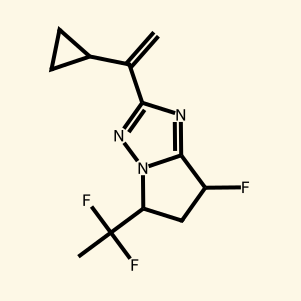 C=C(c1nc2n(n1)C(C(C)(F)F)CC2F)C1CC1